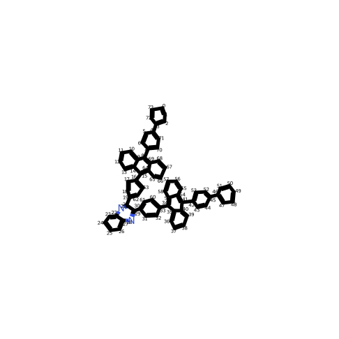 c1ccc(-c2ccc(-c3c4ccccc4c(-c4ccc(-c5nc6ccccc6nc5-c5ccc(-c6c7ccccc7c(-c7ccc(-c8ccccc8)cc7)c7ccccc67)cc5)cc4)c4ccccc34)cc2)cc1